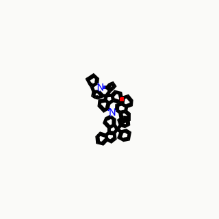 c1ccc(C2(c3ccccc3)c3cc(N(c4cccc5c4-c4ccccc4C54c5ccccc5-n5c6ccccc6c6cccc4c65)c4cc5ccccc5c5ccccc45)ccc3-c3c2ccc2ccccc32)cc1